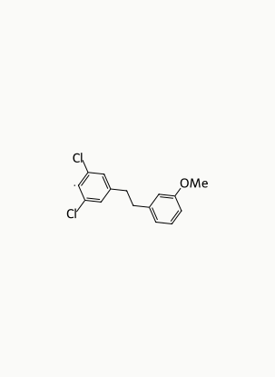 COc1cccc(CCc2cc(Cl)[c]c(Cl)c2)c1